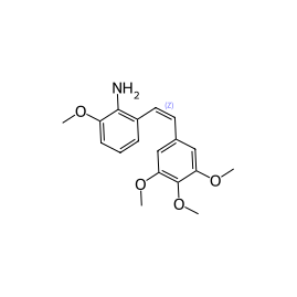 COc1cccc(/C=C\c2cc(OC)c(OC)c(OC)c2)c1N